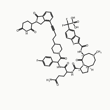 CN1CC[C@H]2CC[C@@H](C(=O)NC(CCC(N)=O)C(=O)NC(C(=O)N3CCC(CCC#Cc4cccc5c4CN(C4CCC(=O)NC4=O)C5=O)CC3)c3ccc(F)cc3)N2C(=O)[C@@H](NC(=O)c2cc3cc(C(F)(F)P(=O)(O)O)ccc3s2)C1